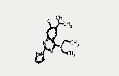 CCN(CC)c1nc(-n2cccn2)nc2cc(Cl)c(C(C)C)cc12